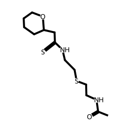 CC(=O)NCCSCCNC(=S)CC1CCCCO1